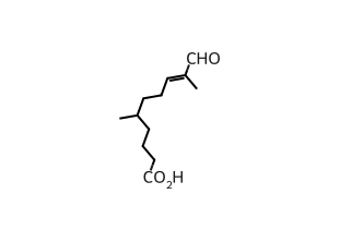 C/C(C=O)=C\CCC(C)CCCC(=O)O